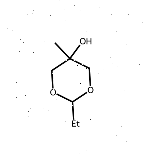 CCC1OCC(C)(O)CO1